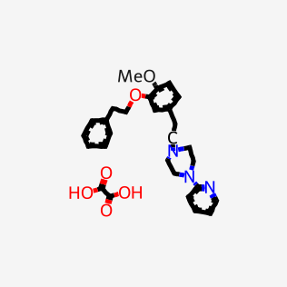 COc1ccc(CCN2CCN(c3ccccn3)CC2)cc1OCCc1ccccc1.O=C(O)C(=O)O